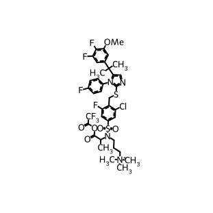 COc1cc(C(C)(C)c2cnc(SCc3c(F)cc(S(=O)(=O)N(CCC[N+](C)(C)C)C(C)C(=O)OC(=O)C(F)(F)F)cc3Cl)n2-c2ccc(F)cc2)cc(F)c1F